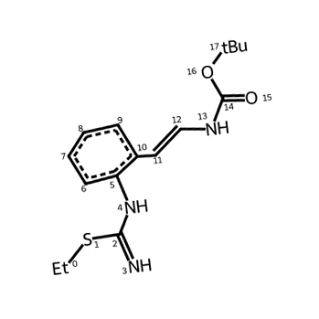 CCSC(=N)Nc1ccccc1C=CNC(=O)OC(C)(C)C